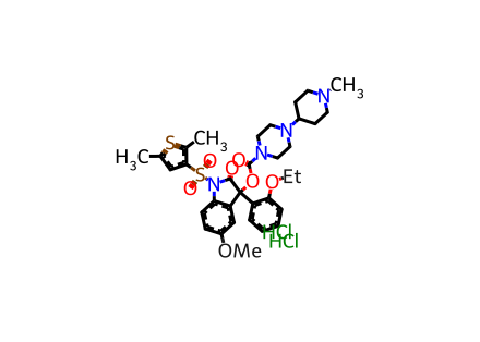 CCOc1ccccc1C1(OC(=O)N2CCN(C3CCN(C)CC3)CC2)C(=O)N(S(=O)(=O)c2cc(C)sc2C)c2ccc(OC)cc21.Cl.Cl